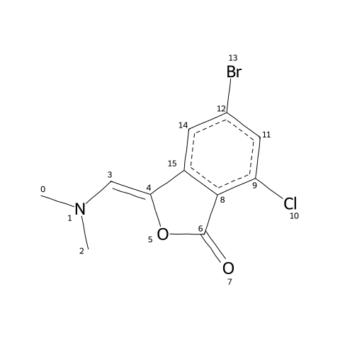 CN(C)C=C1OC(=O)c2c(Cl)cc(Br)cc21